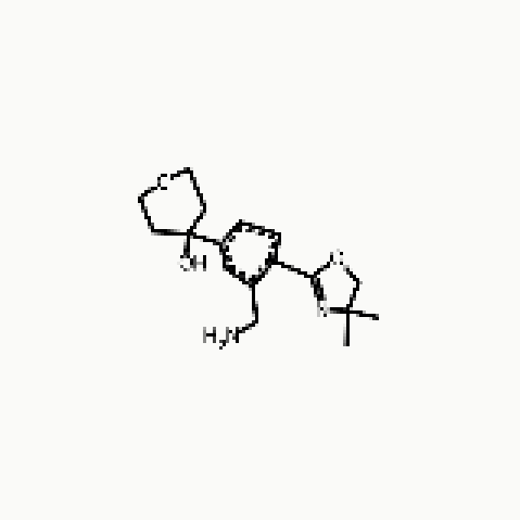 CC1(C)COC(c2ccc(C3(O)CCCCC3)cc2CN)=N1